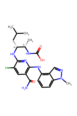 CC(C)C[C@@H](Nc1nc(Nc2cccc3c2cnn3C)c(C(N)=O)cc1F)[C@H](C)NC(=O)O